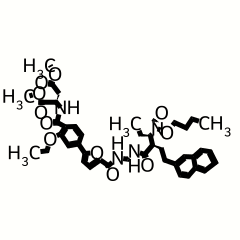 CCCCON(C=O)[C@H](CC)[C@@H](CCc1ccc2ccccc2c1)C(=O)NCNC(=O)c1ccc(-c2ccc(C(=O)N[C@@H](CC(=O)OC)C(=O)OC)c(OCC)c2)o1